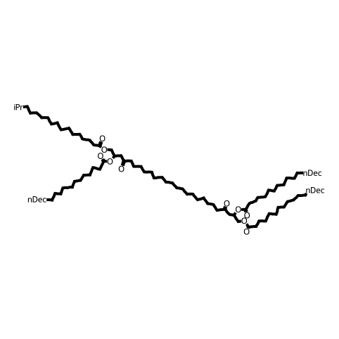 CCCCCCCCCCCCCCCCCCCCCC(=O)OCC(CC(=O)CCCCCCCCCCCCCCCCCCC(=O)CC(COC(=O)CCCCCCCCCCCCCCC(C)C)OC(=O)CCCCCCCCCCCCCCCCCCCCC)OC(=O)CCCCCCCCCCCCCCCCCCCCC